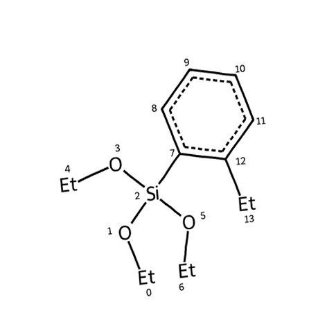 CCO[Si](OCC)(OCC)c1ccccc1CC